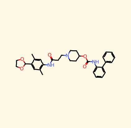 Cc1cc(C2OCCO2)c(C)cc1NC(=O)CCN1CCC(OC(=O)Nc2ccccc2-c2ccccc2)CC1